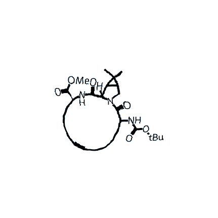 COC(=O)[C@@H]1CCCCC=CCCCCC(NC(=O)OC(C)(C)C)C(=O)N2CC3C([C@H]2C(=O)N1)C3(C)C